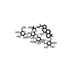 C[C@H]1[C@H](O[C@H]2[C@H](O[C@H](CC[C@@H](C)C3CC[C@@]4(C)C5CC=C6C(CC[C@H](O[C@@H]7O[C@H](CO)[C@@H](O)[C@H](O)[C@H]7O)C6(C)C)[C@]5(C)[C@H](O)C[C@]34C)C(C)(C)O)O[C@H](CO[C@H]3O[C@H](CO)[C@@H](O)[C@H](O)[C@H]3O)[C@@H](O)[C@@H]2O)O[C@H](CO)[C@@H](O)[C@@H]1O